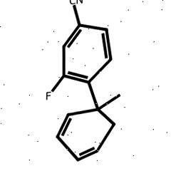 CC1(c2ccc(C#N)cc2F)C=CC=CC1